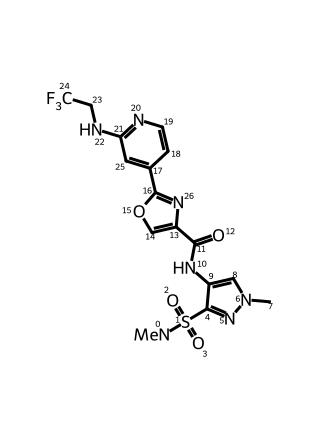 CNS(=O)(=O)c1nn(C)cc1NC(=O)c1coc(-c2ccnc(NCC(F)(F)F)c2)n1